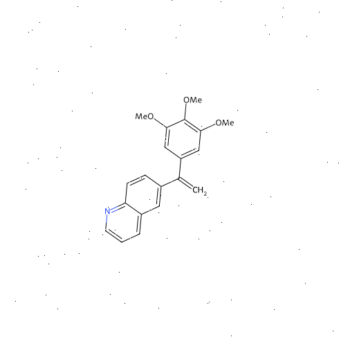 C=C(c1cc(OC)c(OC)c(OC)c1)c1ccc2ncccc2c1